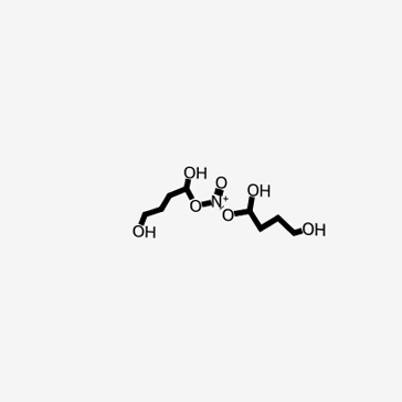 O=[N+](OC(O)CCCO)OC(O)CCCO